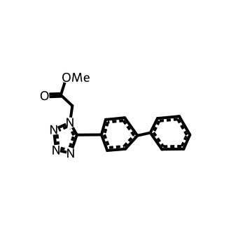 COC(=O)Cn1nnnc1-c1ccc(-c2ccccc2)cc1